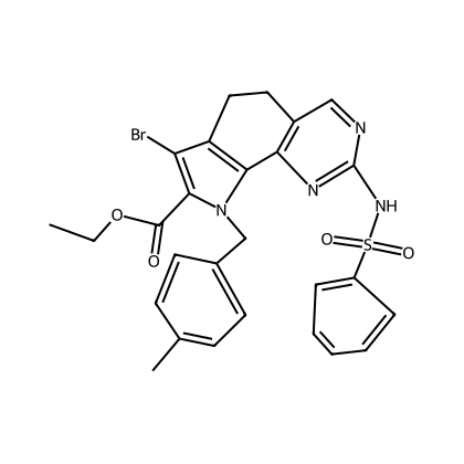 CCOC(=O)c1c(Br)c2c(n1Cc1ccc(C)cc1)-c1nc(NS(=O)(=O)c3ccccc3)ncc1CC2